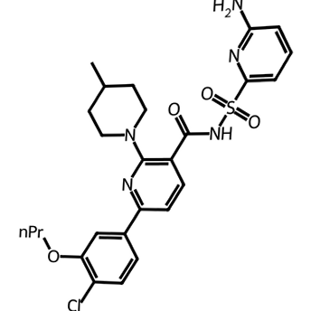 CCCOc1cc(-c2ccc(C(=O)NS(=O)(=O)c3cccc(N)n3)c(N3CCC(C)CC3)n2)ccc1Cl